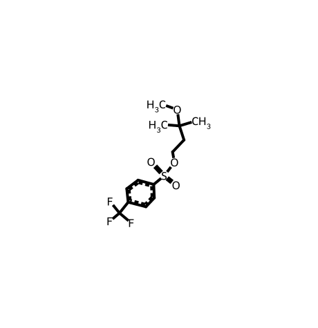 COC(C)(C)CCOS(=O)(=O)c1ccc(C(F)(F)F)cc1